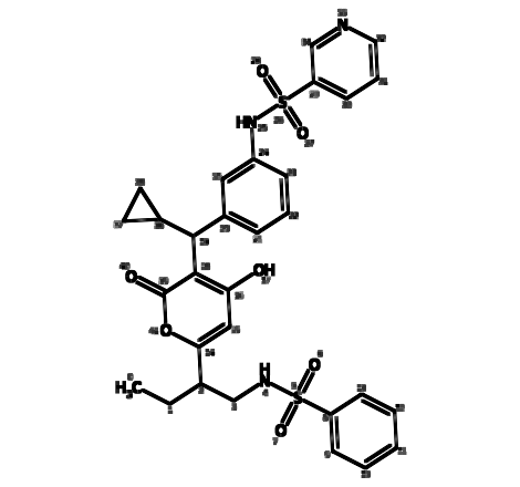 CCC(CNS(=O)(=O)c1ccccc1)c1cc(O)c(C(c2cccc(NS(=O)(=O)c3cccnc3)c2)C2CC2)c(=O)o1